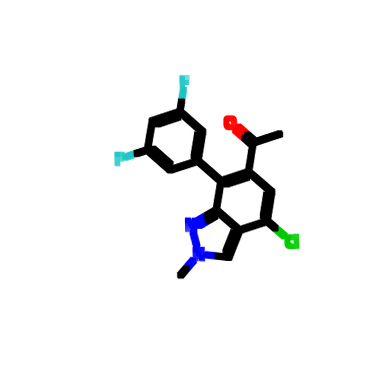 CC(=O)c1cc(Cl)c2cn(C)nc2c1-c1cc(F)cc(F)c1